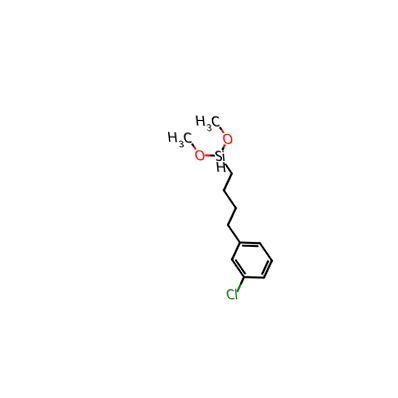 CO[SiH](CCCCc1cccc(Cl)c1)OC